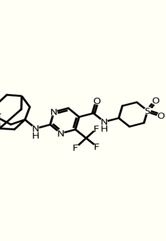 O=C(NC1CCS(=O)(=O)CC1)c1cnc(NC23CCC4CC(CC(C4)C2)C3)nc1C(F)(F)F